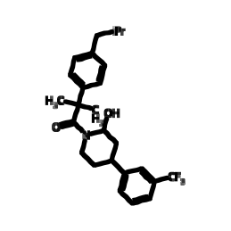 CC(C)Cc1ccc(C(C)(C)C(=O)N2CCC(c3cccc(C(F)(F)F)c3)CC2O)cc1